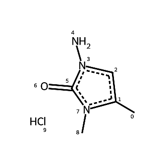 Cc1cn(N)c(=O)n1C.Cl